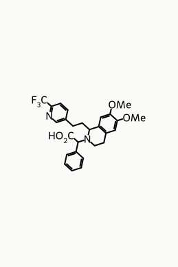 COc1cc2c(cc1OC)C(CCc1ccc(C(F)(F)F)nc1)N(C(C(=O)O)c1ccccc1)CC2